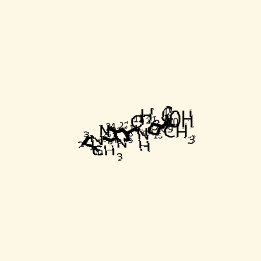 CC1CCN1c1cc2ncc(C(=O)NC3CC(C(C)(C)O)C3)cc2cn1